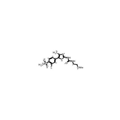 COCCNC(=O)Nc1nc(C)c(-c2ccc(S(C)(=O)=O)c(F)c2)s1